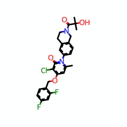 Cc1cc(OCc2ccc(F)cc2F)c(Cl)c(=O)n1-c1ccc2c(c1)CCN(C(=O)C(C)(C)O)C2